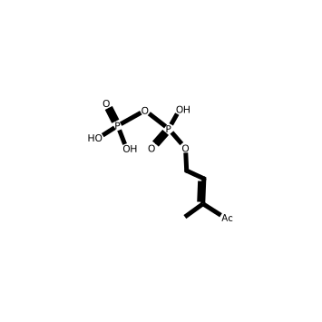 CC(=O)/C(C)=C/COP(=O)(O)OP(=O)(O)O